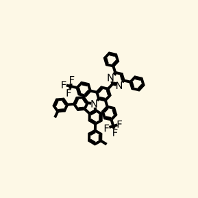 Cc1cccc(-c2ccc3c(c2)c2cc(-c4cccc(C)c4)ccc2n3-c2c(-c3ccc(C(F)(F)F)cc3)cc(-c3nc(-c4ccccc4)cc(-c4ccccc4)n3)cc2-c2ccc(C(F)(F)F)cc2)c1